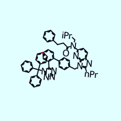 CCCc1nc2ccc(N(CC(C)C)C(=O)CCc3ccccc3)nc2n1Cc1ccc(-c2ccccc2-c2nnnn2C(c2ccccc2)(c2ccccc2)c2ccccc2)cc1